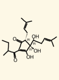 CCC(C)C(=O)C1=C(O)[C@@](O)([C@H](O)CC=C(C)C)[C@@H](CC=C(C)C)C1=O